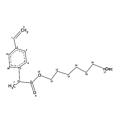 C=Cc1ccc(C(C)C(=O)OCCCCCCCCCCCCCCCC)cc1